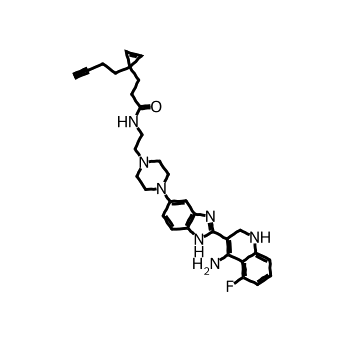 C#CCCC1(CCC(=O)NCCN2CCN(c3ccc4[nH]c(C5=C(N)c6c(F)cccc6NC5)nc4c3)CC2)C=C1